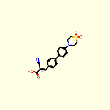 N#C/C(=C\c1ccc(-c2ccc(N3CCS(=O)(=O)CC3)cc2)cc1)C(=O)O